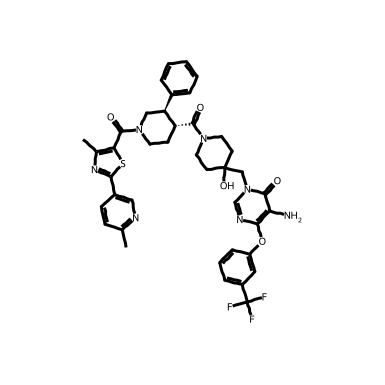 Cc1ccc(-c2nc(C)c(C(=O)N3CC[C@@H](C(=O)N4CCC(O)(Cn5cnc(Oc6cccc(C(F)(F)F)c6)c(N)c5=O)CC4)[C@H](c4ccccc4)C3)s2)cn1